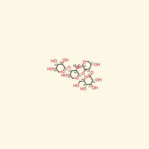 C[C@@H]1OC[C@H](O)[C@H](O[C@@H]2O[C@H](CO)[C@@H](O)[C@H](O)[C@H]2O)[C@H]1O[C@@H]1OC[C@@H](O)[C@H](O[C@@H]2OC[C@@H](O)[C@H](O)[C@H]2O)[C@H]1O